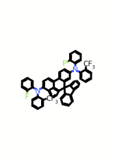 Fc1ccccc1N(c1ccc2c(c1)C1(c3ccccc3-c3ccccc31)c1cccc3c(N(c4ccccc4F)c4ccccc4C(F)(F)F)ccc-2c13)c1ccccc1C(F)(F)F